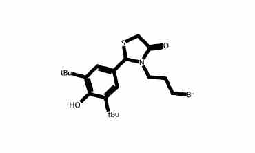 CC(C)(C)c1cc(C2SCC(=O)N2CCCBr)cc(C(C)(C)C)c1O